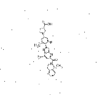 Cc1cc(N2CCC(C(=O)O)C2)cc(F)c1-c1cc2nc(C(=O)N3CCc4ccccc4[C@H]3C)cc(C3CC3)n2n1